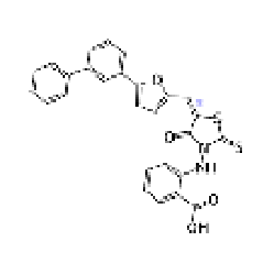 O=C(O)c1ccccc1NN1C(=O)/C(=C\c2ccc(-c3cccc(-c4ccccc4)c3)o2)SC1=S